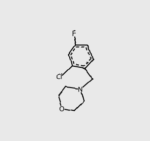 Fc1ccc(CN2CCOCC2)c(Cl)c1